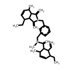 C=CC1C(CC)C=CC(C)C1C(=C)N(C)Cc1cccc(CN2C(=C)C3C(C)C=CC(CC)C3C2=C)c1